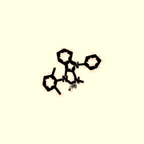 Cc1cccc(C)c1N1c2c(n(-c3ccccc3)c3ccccc23)N(C)[C@@H]1C